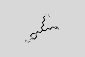 CCCCCCC(CCCCC)CCN1CCN(C)CC1